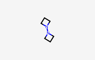 C1CN(N2CCC2)C1